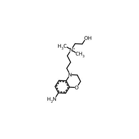 C[N+](C)(CCO)CCCN1CCOc2cc(N)ccc21